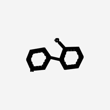 [O]c1ccccc1-c1cccnc1